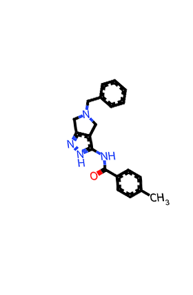 Cc1ccc(C(=O)Nc2[nH]nc3c2CN(Cc2ccccc2)C3)cc1